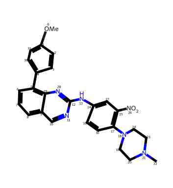 COc1ccc(-c2cccc3cnc(Nc4ccc(N5CCN(C)CC5)c([N+](=O)[O-])c4)nc23)cc1